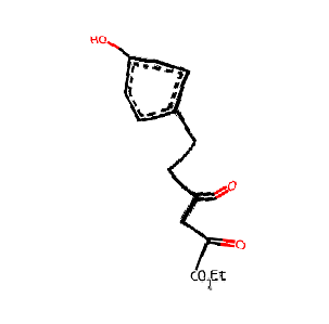 CCOC(=O)C(=O)CC(=O)CCc1ccc(O)cc1